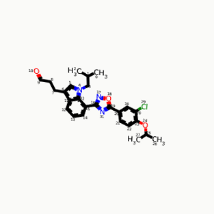 CC(C)Cn1cc(CCC=O)c2cccc(-c3noc(-c4ccc(OC(C)C)c(Cl)c4)n3)c21